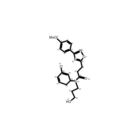 COc1ccc(-c2noc(CCC(=O)N(CCCO)C3C=C(Cl)C=CC3)n2)cc1